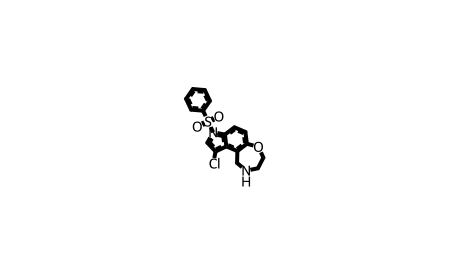 O=S(=O)(c1ccccc1)n1cc(Cl)c2c3c(ccc21)OCCNC3